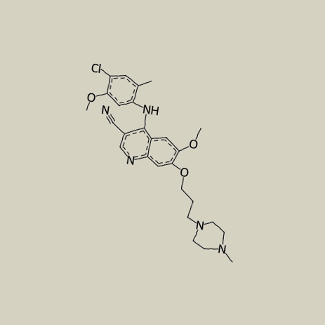 COc1cc(Nc2c(C#N)cnc3cc(OCCCN4CCN(C)CC4)c(OC)cc23)c(C)cc1Cl